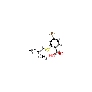 CC(C)CSc1cc(Br)ccc1C(=O)O